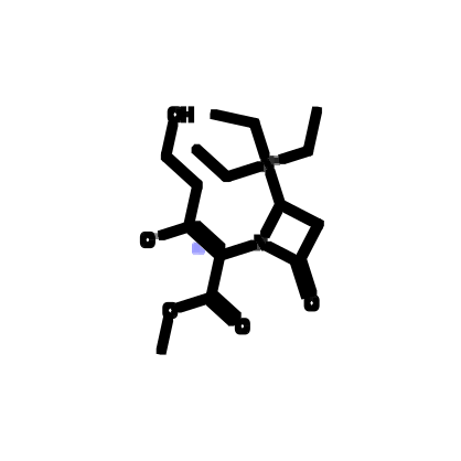 CC[N+](CC)(CC)C1CC(=O)N1/C(C(=O)OC)=C(/[O-])CCO